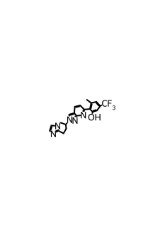 Cc1cc(C(F)(F)F)cc(O)c1-c1ccc2cn(C3CCc4nccn4C3)nc2n1